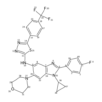 Fc1ccc(-c2nc3cc(Nc4nnc(-c5ccc(C(F)(F)F)cc5)s4)c(N4CCOCC4)cc3n2C2CC2)cc1